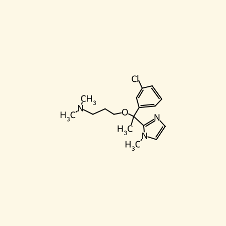 CN(C)CCCOC(C)(c1cccc(Cl)c1)c1nccn1C